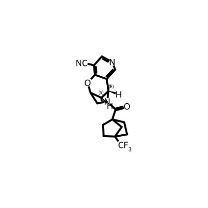 C[C@@H]1C2CN(C(=O)C34CCC(C(F)(F)F)(CC3)C4)[C@H]1c1cncc(C#N)c1O2